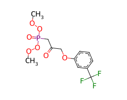 COOP(=O)(CC(=O)COc1cccc(C(F)(F)F)c1)OOC